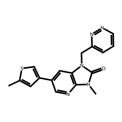 Cc1cc(-c2cnc3c(c2)n(Cc2cccnn2)c(=O)n3C)cs1